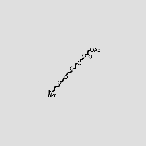 CCCNCCCOCCOCCOCCOCCOC(=O)COC(C)=O